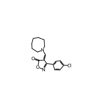 O=C1ON=C(c2ccc(Cl)cc2)C1=CN1CCCCCCC1